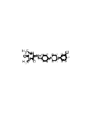 Cn1nc(NCC2CCC(N3CCN(c4cccc(Cl)c4)CC3)CC2)c(=O)n(C)c1=O